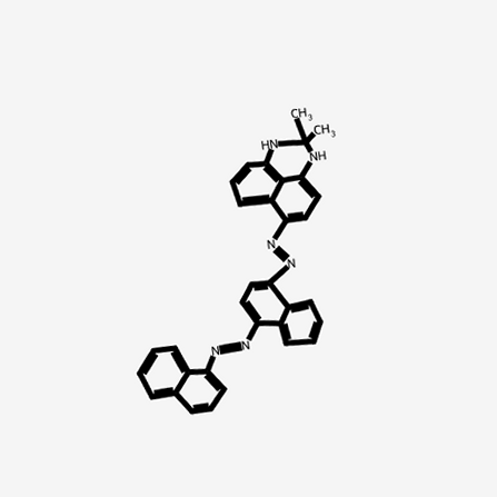 CC1(C)Nc2cccc3c(N=Nc4ccc(N=Nc5cccc6ccccc56)c5ccccc45)ccc(c23)N1